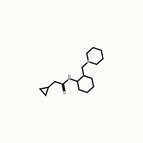 O=C(CC1CC1)NC1CCCCC1CN1CCCCC1